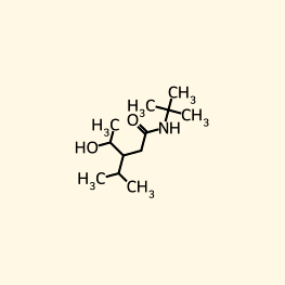 CC(C)C(CC(=O)NC(C)(C)C)C(C)O